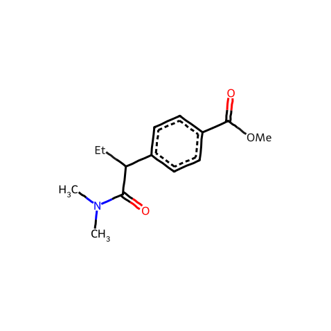 CCC(C(=O)N(C)C)c1ccc(C(=O)OC)cc1